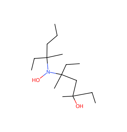 CCCC(C)(CC)N(O)C(C)(CC)CC(C)(O)CC